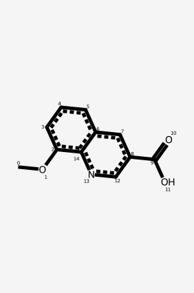 COc1cccc2cc(C(=O)O)cnc12